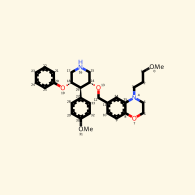 COCCCN1CCOc2ccc(CO[C@H]3CNC[C@@H](Oc4ccccc4)[C@@H]3c3ccc(OC)cc3)cc21